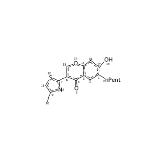 CCCCCc1cc2c(=O)c(-c3nc(C)cs3)coc2cc1O